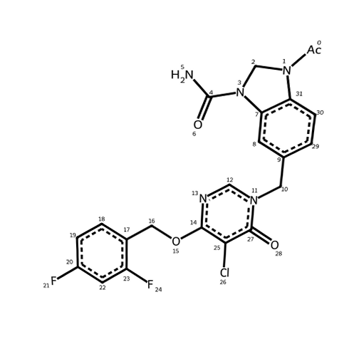 CC(=O)N1CN(C(N)=O)c2cc(Cn3cnc(OCc4ccc(F)cc4F)c(Cl)c3=O)ccc21